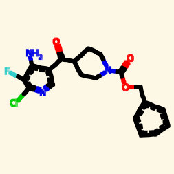 Nc1c(C(=O)C2CCN(C(=O)OCc3ccccc3)CC2)cnc(Cl)c1F